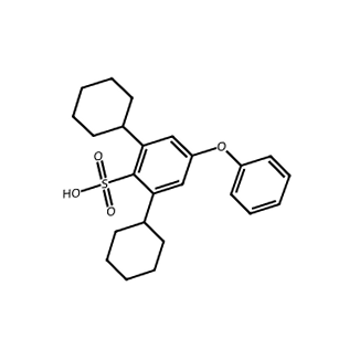 O=S(=O)(O)c1c(C2CCCCC2)cc(Oc2ccccc2)cc1C1CCCCC1